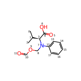 CC(C)[C@@H](C(=O)O)N(CO[C]=O)c1ccccc1